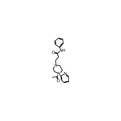 CC(=O)[N+]1(c2ccccn2)CCN(CCC(=O)Nc2ccccc2)CC1